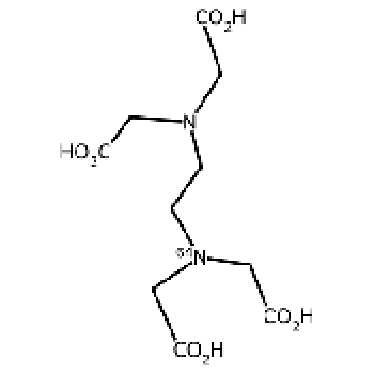 O=C(O)CN(CC[64N](CC(=O)O)CC(=O)O)CC(=O)O